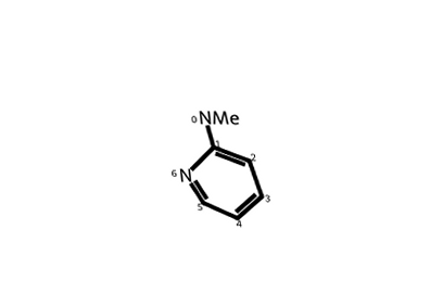 [CH]Nc1ccccn1